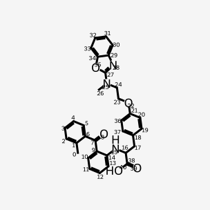 Cc1ccccc1C(=O)c1ccccc1NC(Cc1ccc(OCCN(C)c2nc3ccccc3o2)cc1)C(=O)O